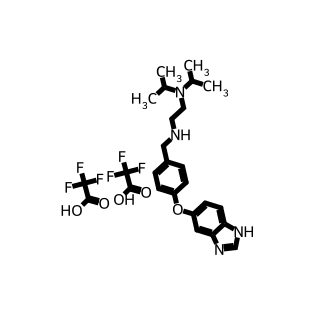 CC(C)N(CCNCc1ccc(Oc2ccc3[nH]cnc3c2)cc1)C(C)C.O=C(O)C(F)(F)F.O=C(O)C(F)(F)F